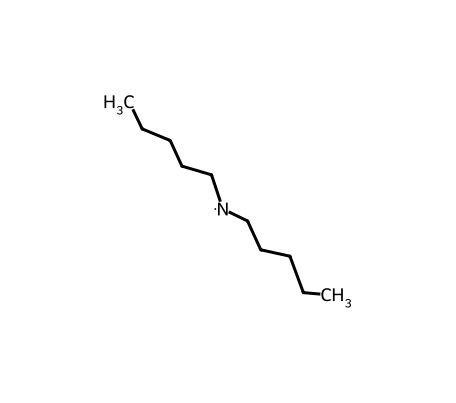 CCCCC[N]CCCCC